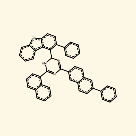 c1ccc(-c2ccc3cc(C4=NC(c5c(-c6ccccc6)ccc6oc7ccccc7c56)NC(c5cccc6ccccc56)=N4)ccc3c2)cc1